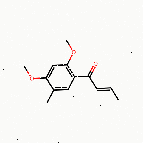 C/C=C/C(=O)c1cc(C)c(OC)cc1OC